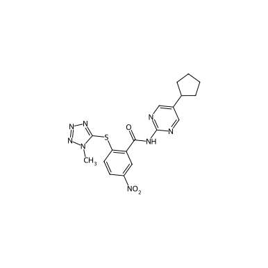 Cn1nnnc1Sc1ccc([N+](=O)[O-])cc1C(=O)Nc1ncc(C2CCCC2)cn1